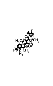 CCOC(C(=O)NC1(C(F)F)CC1)c1nc(C)nc(N[C@H](C)c2cccc(C(F)(F)F)c2C)c1C1OCCO1